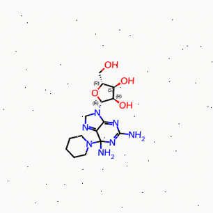 NC1=NC(N)(N2CCCCC2)C2=NCN([C@@H]3O[C@H](CO)[C@@H](O)[C@H]3O)C2=N1